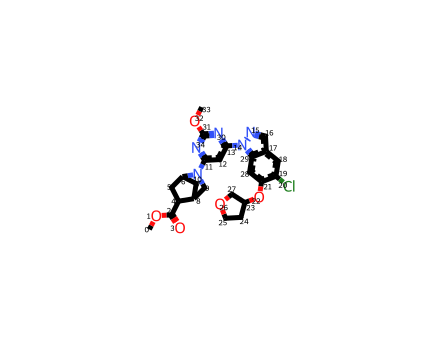 COC(=O)C1CC2CC1CN2c1cc(-n2ncc3cc(Cl)c(OC4CCOC4)cc32)nc(OC)n1